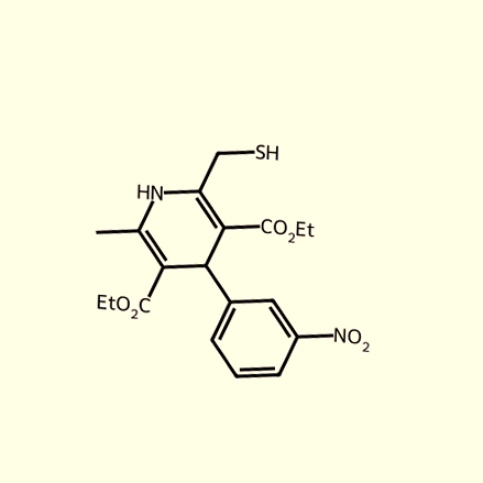 CCOC(=O)C1=C(C)NC(CS)=C(C(=O)OCC)C1c1cccc([N+](=O)[O-])c1